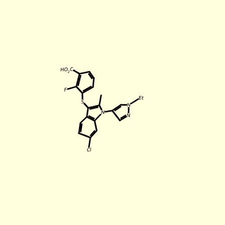 CCn1cc(-n2c(C)c(Sc3cccc(C(=O)O)c3F)c3ccc(Cl)cc32)cn1